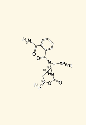 CCCCCC1N(C(=O)c2ccccc2C(N)=O)[C@@]12[C@@H]1C[C@H](C)OC(=O)N12